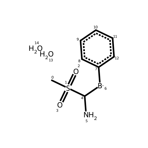 CS(=O)(=O)C(N)[B]c1ccccc1.O.O